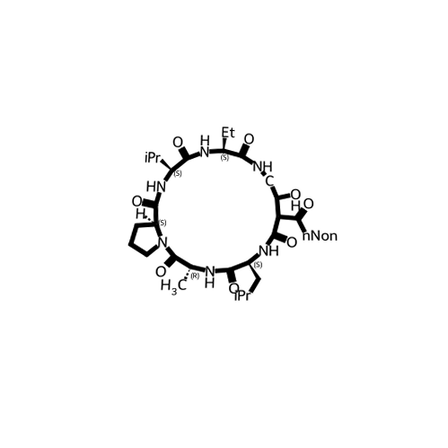 CCCCCCCCCC(=O)C1C(=O)N[C@@H](CC(C)C)C(=O)N[C@H](C)C(=O)N2CCC[C@H]2C(=O)N[C@@H](C(C)C)C(=O)N[C@@H](CC)C(=O)NCC1O